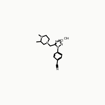 CC1CN(Cc2nnnn2-c2ccc(C#N)cc2)CCN1C.Cl.Cl